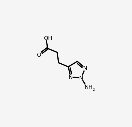 Nn1ncc(CCC(=O)O)n1